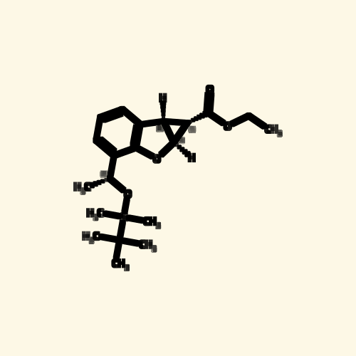 CCOC(=O)[C@@H]1[C@H]2Oc3c(cccc3[C@@H](C)O[Si](C)(C)C(C)(C)C)[C@H]21